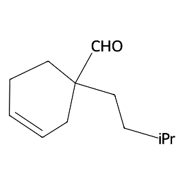 CC(C)CCC1(C=O)CC=CCC1